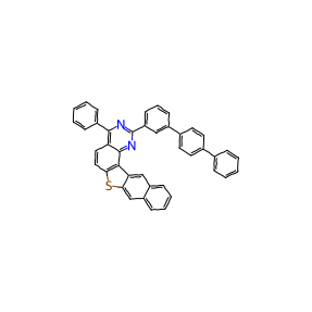 c1ccc(-c2ccc(-c3cccc(-c4nc(-c5ccccc5)c5ccc6sc7cc8ccccc8cc7c6c5n4)c3)cc2)cc1